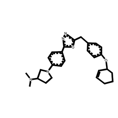 CN(C)C1CCN(c2ccc(-c3nnc(Cc4ccc(OC5C=CCCC5)cc4)o3)cc2)C1